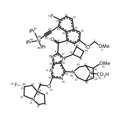 COCOc1cc(C(=O)c2nc3nc(OC[C@@]45CCCN4C[C@H](F)C5)nc(N4CC5CC(OC)C(C4)N5C(=O)O)c3n2C2CCC2)c2c(C#C[Si](C(C)C)(C(C)C)C(C)C)c(F)ccc2c1